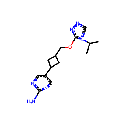 CC(C)n1cnnc1OCC1CC(c2cnc(N)nc2)C1